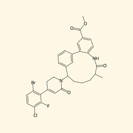 COC(=O)c1ccc2c(c1)-c1cccc(c1)C(N1CCC(c3c(Br)ccc(Cl)c3F)=CC1=O)CCCC(C)C(=O)N2